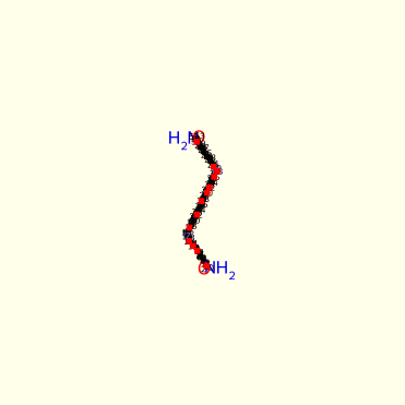 NC(=O)CCCCCCCCCCC/C=C\CCCCCCCCCCCCCCCCCCCCCC/C=C\CCCCCCCCCCCC(N)=O